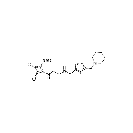 CNc1c(NCCNCc2ccc(CN3CCCCC3)o2)c(=O)c1=O